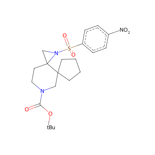 CC(C)(C)OC(=O)N1CCC2(CN2S(=O)(=O)c2ccc([N+](=O)[O-])cc2)C2(CCCC2)C1